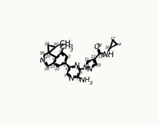 Cc1cc(-c2cnc(N)c(-n3cc(C(=O)NC4CC4)cn3)n2)cc2c1C1(CN=C2)CC1C